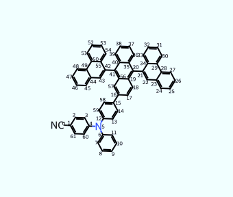 N#Cc1ccc(N(c2ccccc2)c2ccc(-c3ccc4c(-c5cc6ccccc6c6ccccc56)c5ccccc5c(-c5cc6ccccc6c6ccccc56)c4c3)cc2)cc1